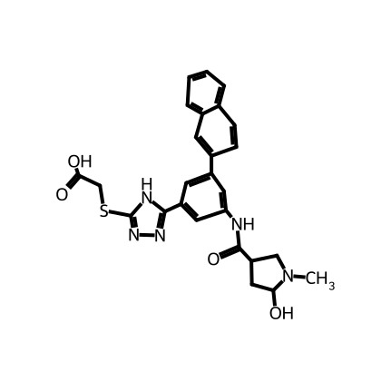 CN1CC(C(=O)Nc2cc(-c3ccc4ccccc4c3)cc(-c3nnc(SCC(=O)O)[nH]3)c2)CC1O